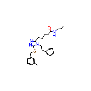 CCCNC(=O)CCCCc1nnc(SCc2cccc(C)c2)n1CCc1ccccc1